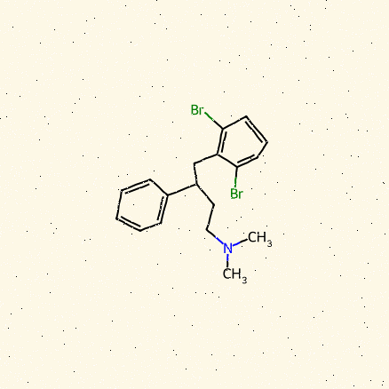 CN(C)CCC(Cc1c(Br)cccc1Br)c1ccccc1